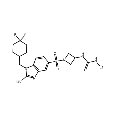 CCNC(=O)NC1CN(S(=O)(=O)c2ccc3c(c2)nc(C(C)(C)C)n3CC2CCC(F)(F)CC2)C1